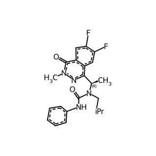 CC(C)CN(C(=O)Nc1ccccc1)[C@H](C)c1nn(C)c(=O)c2cc(F)c(F)cc12